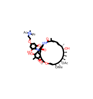 CO[C@H]1/C=C/O[C@@]2(C)Oc3c(C)c(O)c4c(=O)c(c5oc6cc(OCC[N+](C)(C(C)=O)C(C)C)cc(O)c6nc-5c4c3C2=O)NC(=O)/C(C)=C\C=C\[C@H](C)[C@H](O)[C@@H](C)[C@@H](C)[C@@H](C)[C@H](OC(C)=O)[C@@H]1C